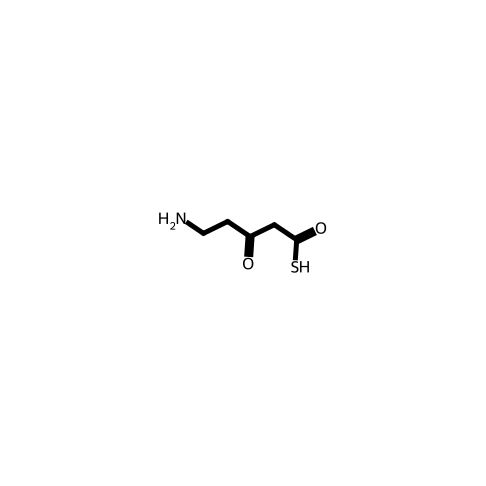 NCCC(=O)CC(=O)S